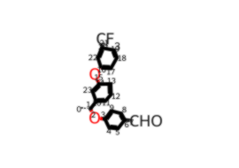 C[C@@H](Oc1ccc(C=O)cc1)c1cccc(Oc2cccc(C(F)(F)F)c2)c1